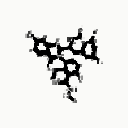 CNc1c(-n2c(C(Cc3cc(F)cc(F)c3)NC=O)nc3nc(O)ccc3c2=O)ccc(Cl)c1C(=N)NSC